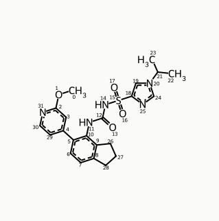 COc1cc(-c2ccc3c(c2NC(=O)NS(=O)(=O)c2cn(C(C)C)cn2)CCC3)ccn1